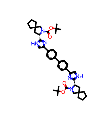 CC(C)(C)OC(=O)N1CC2(CCCC2)C[C@H]1c1nc(-c2ccc(-c3ccc(-c4c[nH]c([C@@H]5CC6(CCCC6)CN5C(=O)OC(C)(C)C)n4)cc3)cc2)c[nH]1